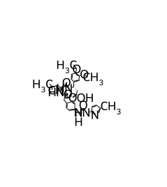 COc1ccc([C@H](CC(=O)O)NC(=O)[C@H](CC(C)C)NC(=O)Cc2ccc(NC(=O)Nc3ccc(C)cn3)cc2)cc1OC